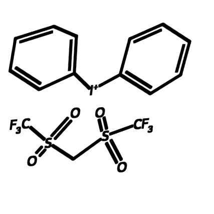 O=S(=O)(CS(=O)(=O)C(F)(F)F)C(F)(F)F.c1ccc([I+]c2ccccc2)cc1